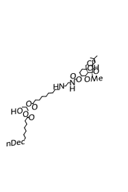 CCCCCCCCCCCCCCCCC(=O)OCC(CO)OC(=O)CCCCCCCCNCCNC(=O)O[C@@H]1CC[C@](O)(CCl)[C@@H]([C@@]2(C)O[C@@H]2CC=C(C)C)[C@@H]1OC